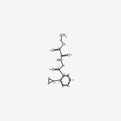 CCOC(=O)C(=O)NCC(=O)c1ccccc1C1CC1